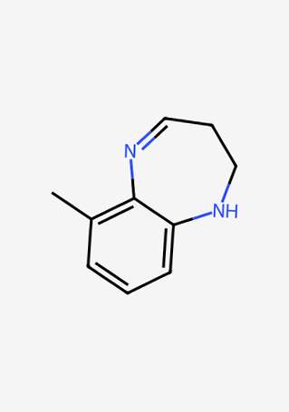 Cc1cccc2c1N=CCCN2